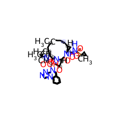 C[C@H]1CC/C=C\[C@@H]2C[C@@]2(C(=O)NS(=O)(=O)C2(C)CC2)NC(=O)[C@@H]2C[C@@H](Oc3nc4nncn4c4ccccc34)CN2C(=O)[C@@H](N(C(=O)O)C(C)(C)C)[C@H](C)C1